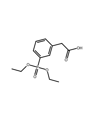 CCOP(=O)(OCC)c1cccc(CC(=O)O)c1